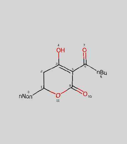 CCCCCCCCCC1CC(O)=C(C(=O)CCCC)C(=O)O1